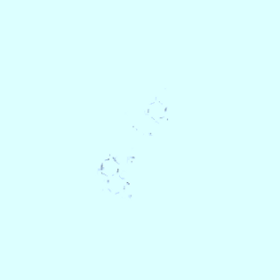 C[C@@H](N)c1cc(F)ccc1OCCCNc1ncnc2ccc(Cl)nc12